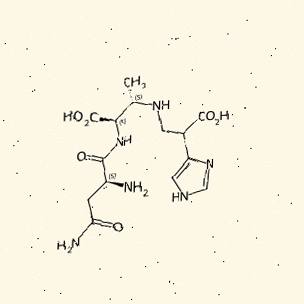 C[C@H](NCC(C(=O)O)c1c[nH]cn1)[C@@H](NC(=O)[C@@H](N)CC(N)=O)C(=O)O